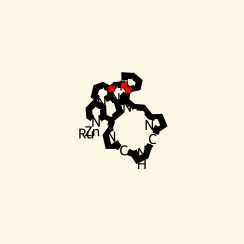 C1=Cc2cc3c(-c4ccccn4)c(-c4ccccn4)c(c(-c4ccccn4)c4nc(cc5ccc(cc1n2)[nH]5)C=C4)n3-c1ccccn1.[Ru].[Zn]